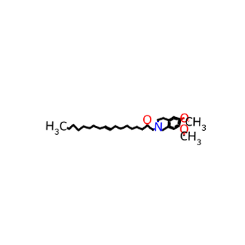 CCCCCCCCC=CCCCCCCC(=O)CN1CCc2cc(OC)c(OC)cc2C1